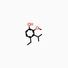 CCc1ccc(O)c(OC)c1C(C)C